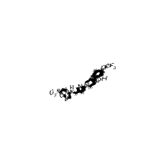 O=[N+]([O-])[C@@H]1C=CN2C(=NCC2NCc2ccc(N3CCC(O)(c4ccc(OC(F)(F)F)cc4)CC3)nc2)O1